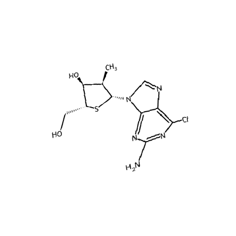 C[C@@H]1[C@H](O)[C@@H](CO)S[C@H]1n1cnc2c(Cl)nc(N)nc21